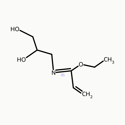 C=C/C(=N/CC(O)CO)OCC